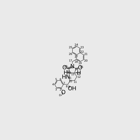 COc1ccccc1[C@@H](O)C1CC[C@H]2C(=O)N(Cc3cccc4ccccc34)C(=O)[C@H]2N1